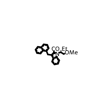 CCOC(=O)c1c(Cc2cccc3ccccc23)c2ccccc2n1CCOC